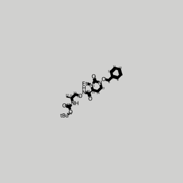 CCN1C(=O)N(OCc2ccccc2)CC[C@H]1C(=O)NOC[C@H](C)NC(=O)OC(C)(C)C